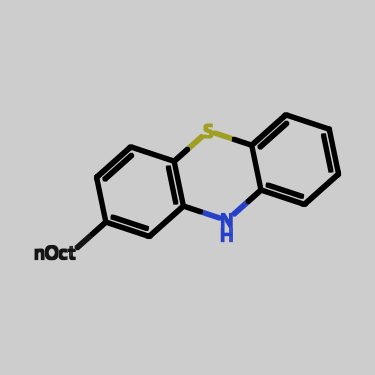 CCCCCCCCc1ccc2c(c1)Nc1ccccc1S2